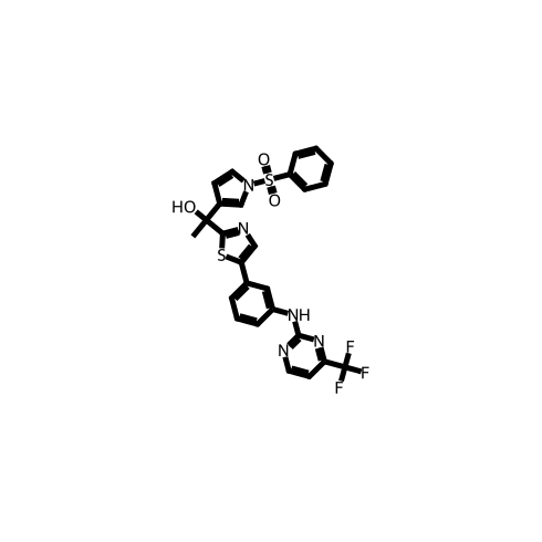 CC(O)(c1ccn(S(=O)(=O)c2ccccc2)c1)c1ncc(-c2cccc(Nc3nccc(C(F)(F)F)n3)c2)s1